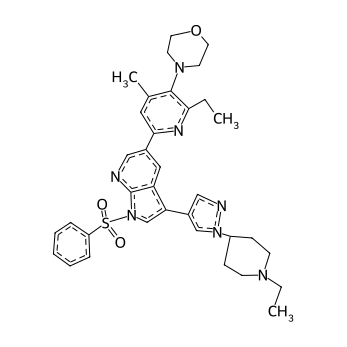 CCc1nc(-c2cnc3c(c2)c(-c2cnn(C4CCN(CC)CC4)c2)cn3S(=O)(=O)c2ccccc2)cc(C)c1N1CCOCC1